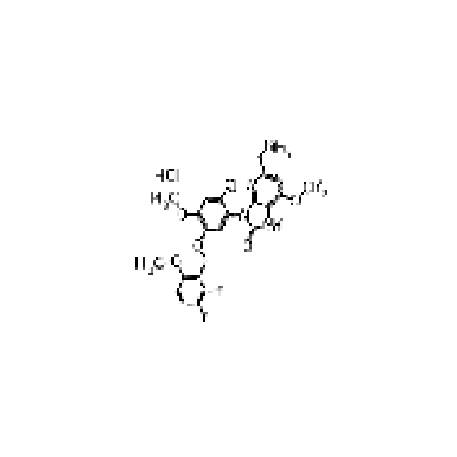 COc1cc(Cl)c(-n2c(=O)[nH]c3c(OC)nc(CN)nc32)cc1OCc1c(OC)ccc(F)c1F.Cl